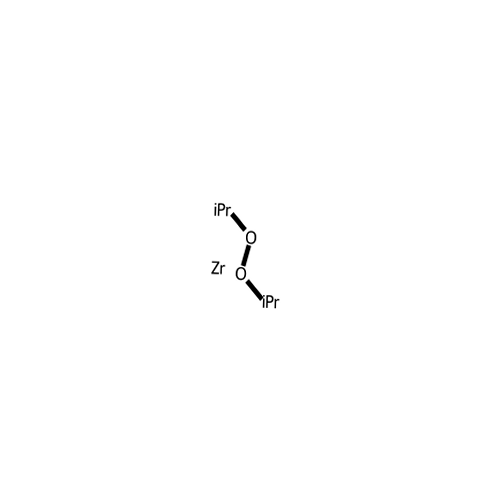 CC(C)OOC(C)C.[Zr]